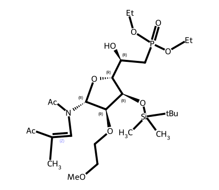 CCOP(=O)(C[C@H](O)[C@H]1O[C@@H](N(/C=C(/C)C(C)=O)C(C)=O)[C@H](OCCOC)[C@@H]1O[Si](C)(C)C(C)(C)C)OCC